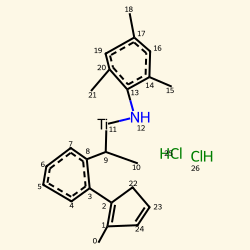 CC1=C(c2ccccc2[CH](C)[Ti][NH]c2c(C)cc(C)cc2C)CC=C1.Cl.Cl